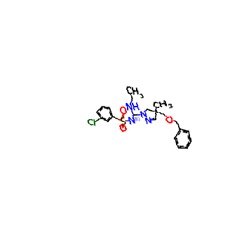 CCN/C(=N\S(=O)(=O)c1cccc(Cl)c1)N1CC(C)(COCc2ccccc2)C=N1